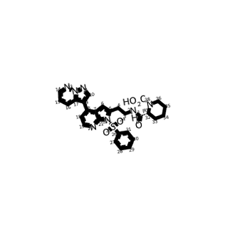 O=C(NCCc1cc2c(-c3cnn4ncccc34)ccnc2n1S(=O)(=O)c1ccccc1)[C@H]1CCCCN1C(=O)O